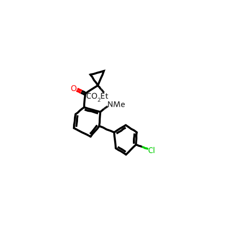 CCOC(=O)C1(C(=O)c2cccc(-c3ccc(Cl)cc3)c2NC)CC1